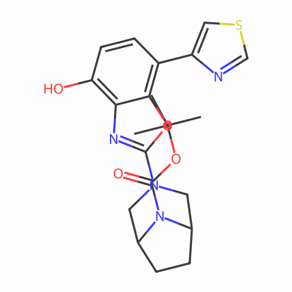 CC(C)(C)OC(=O)N1C2CCC1CN(c1nc3c(O)ccc(-c4cscn4)c3o1)C2